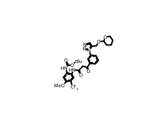 COc1cc(NC(=O)OC(C)(C)C)c(NC(=O)CC(=O)c2cccc(-n3nncc3COC3CCCCO3)c2)cc1C(F)(F)F